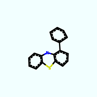 c1ccc(-c2cccc3c2[N]c2ccccc2S3)cc1